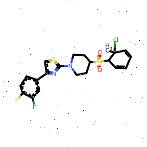 CC1(Cl)C=CC=CC1S(=O)(=O)C1CCN(c2nc(-c3ccc(F)c(Cl)c3)cs2)CC1